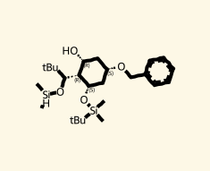 C[SiH](C)OC([C@@H]1[C@H](O)C[C@H](OCc2ccccc2)C[C@@H]1O[Si](C)(C)C(C)(C)C)C(C)(C)C